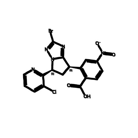 O=C(O)c1ccc([N+](=O)[O-])cc1[C@H]1C[C@@H](c2ncccc2Cl)n2nc(Br)nc21